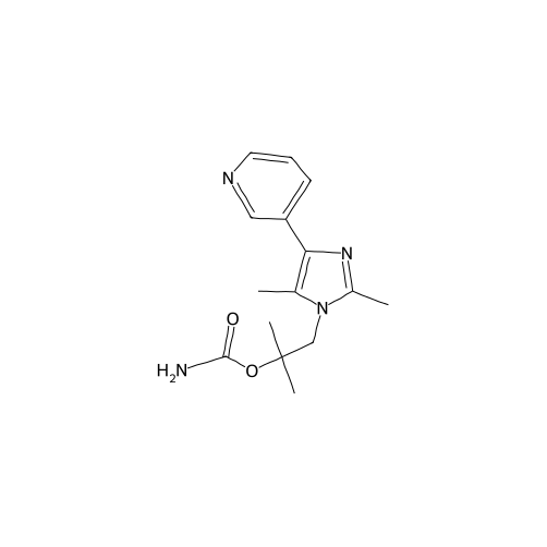 Cc1nc(-c2cccnc2)c(C)n1CC(C)(C)OC(N)=O